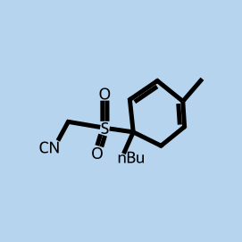 [C-]#[N+]CS(=O)(=O)C1(CCCC)C=CC(C)=CC1